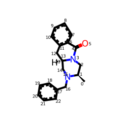 C[C@@H]1CN2C(=O)c3ccccc3C[C@@H]2CN1Cc1ccccc1